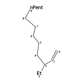 C=CC(CC)CCCCCCCCCC